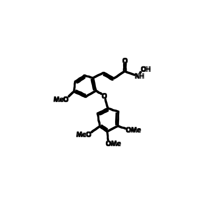 COc1ccc(/C=C/C(=O)NO)c(Oc2cc(OC)c(OC)c(OC)c2)c1